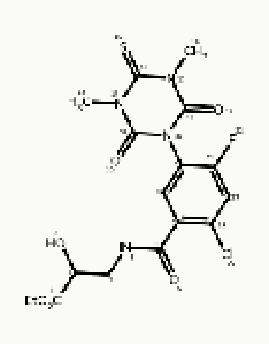 CCOC(=O)C(O)CNC(=O)c1cc(-n2c(=O)n(C)c(=S)n(C)c2=O)c(F)cc1Cl